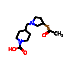 CC(=O)SC1CCN(CC2CCN(C(=O)O)CC2)C1